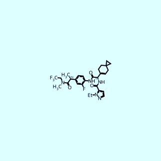 CCn1nccc1C(=O)N[C@H](C(=O)Nc1ccc([C@H](C)C(=O)N(C)CC(F)(F)F)cc1F)C1=CCC2(CC1)CC2